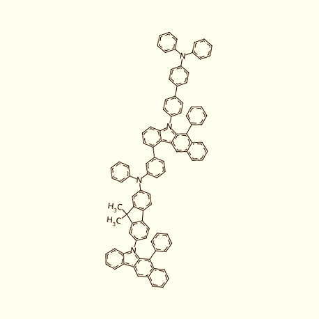 CC1(C)c2cc(N(c3ccccc3)c3cccc(-c4cccc5c4c4cc6ccccc6c(-c6ccccc6)c4n5-c4ccc(-c5ccc(N(c6ccccc6)c6ccccc6)cc5)cc4)c3)ccc2-c2ccc(-n3c4ccccc4c4cc5ccccc5c(-c5ccccc5)c43)cc21